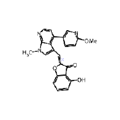 COc1ccc(-c2ccnc3c2c(/C=C2\Oc4cccc(O)c4C2=O)cn3C)cn1